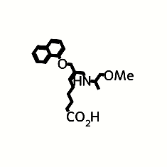 COCC(C)NCC(=CCCCCC(=O)O)COc1cccc2ccccc12